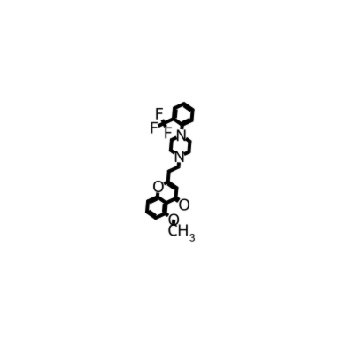 COc1cccc2oc(CCN3CCN(c4ccccc4C(F)(F)F)CC3)cc(=O)c12